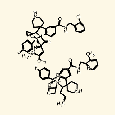 C=CCC1C2(CCNCC2)c2cc(C(=O)NCc3ncccc3C)ccc2[N+]1(C1COC1)S(=O)(=O)c1ccc(F)cc1.Cc1cc(C(=O)[N+]2(S(=O)(=O)c3ccc(F)cc3)c3ccc(C(=O)NCc4ccccc4Cl)cc3C3(CCNCC3)C2C2CC2)nn1C